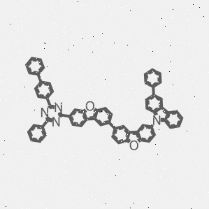 c1ccc(-c2ccc(-c3nc(-c4ccccc4)nc(-c4ccc5c(c4)oc4ccc(-c6ccc7oc8ccc(-n9c%10ccccc%10c%10cc(-c%11ccccc%11)ccc%109)cc8c7c6)cc45)n3)cc2)cc1